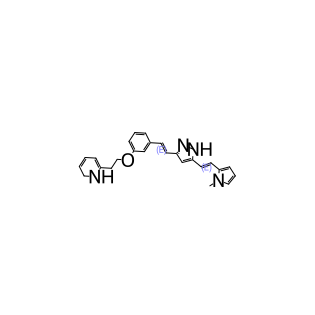 Cn1cccc1/C=C/c1cc(/C=C/c2cccc(OCCC3=CC=CCN3)c2)n[nH]1